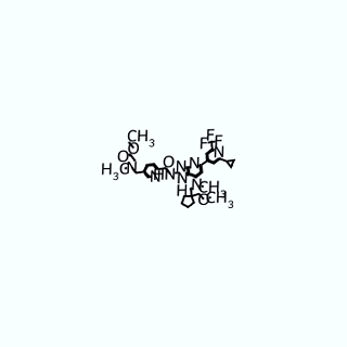 CCOC(=O)CN(C)Cc1ccc(C(=O)Nc2nc3nc(-c4cc(C5CC5)nc(C(F)(F)F)c4)cc(N(C)CC4(COC)CCCC4)c3[nH]2)nc1